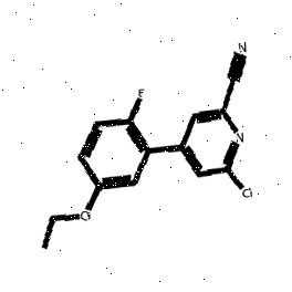 CCOc1ccc(F)c(-c2cc(Cl)nc(C#N)c2)c1